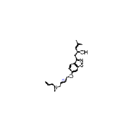 C=CCN(C)C/C=C/COc1ccc2c(CC(O)C=C(C)C)nsc2c1